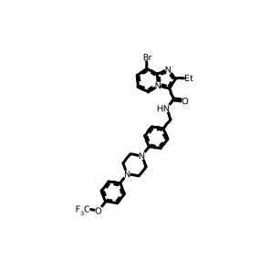 CCc1nc2c(Br)cccn2c1C(=O)NCc1ccc(N2CCN(c3ccc(OC(F)(F)F)cc3)CC2)cc1